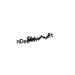 CCC#CCC#CCC#CCCCCCCCC(O)CCCCCCCCCC